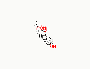 C/C=C(\C)C(=O)O[C@H]1[C@H](O)[C@]2(CO)[C@H](O)C[C@]3(C)C(=CC[C@@H]4[C@@]5(C)CC[C@H](O)C(C)(C)[C@@H]5CC[C@]43C)[C@@H]2CC1(C)C